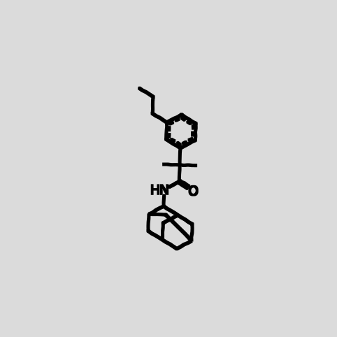 CCCc1cccc(C(C)(C)C(=O)NC2C3CC4CC(C3)CC2C4)c1